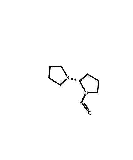 O=[C]N1CCC[C@H]1N1CCCC1